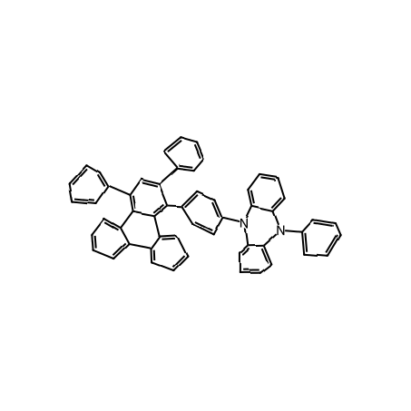 c1ccc(-c2cc(-c3ccccc3)c3c4ccccc4c4ccccc4c3c2-c2ccc(N3c4ccccc4N(c4ccccc4)c4ccccc43)cc2)cc1